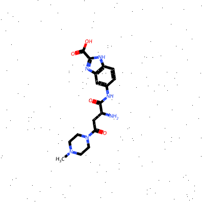 CN1CCN(C(=O)CC(N)C(=O)Nc2ccc3[nH]c(C(=O)O)nc3c2)CC1